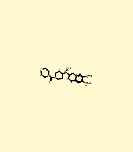 CCCN(C1CCN(C(=O)N2CCOCC2)CC1)C1CCc2cc(OC)c(OC)cc2C1